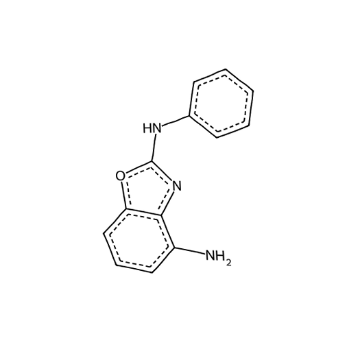 Nc1cccc2oc(Nc3ccccc3)nc12